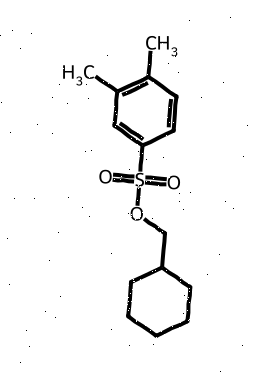 Cc1ccc(S(=O)(=O)OCC2CCCCC2)cc1C